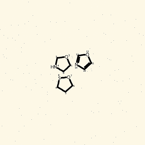 C1COCN1.C1COSC1.c1cocn1